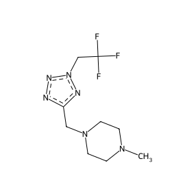 CN1CCN(Cc2nnn(CC(F)(F)F)n2)CC1